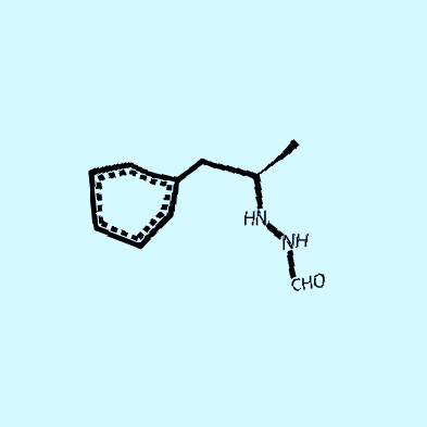 C[C@H](Cc1ccccc1)NNC=O